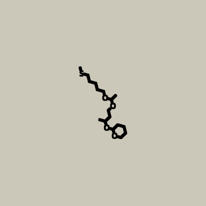 CSCCCCCOC(C)OCCC(C)OC1CCCCO1